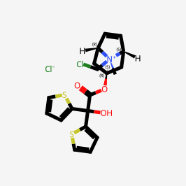 C[N@+]1(CCl)[C@@H]2C=C[C@H]1C[C@H](OC(=O)C(O)(c1cccs1)c1cccs1)C2.[Cl-]